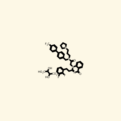 O=C(Cn1c(CCc2cccc(F)c2F)nc(=O)c2ccccc21)N(CCCN1CCCC1)Cc1ccc(-c2ccc(C(F)(F)F)cc2)cc1.O=C(O)C(O)C(O)C(=O)O